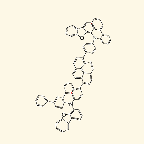 c1ccc(-c2ccc(N(c3ccc(-c4ccc5ccc6c(-c7ccc(N(c8ccccc8-c8ccccc8)c8cccc9c8oc8ccccc89)cc7)ccc7ccc4c5c76)cc3)c3cccc4c3oc3ccccc34)c(-c3ccccc3)c2)cc1